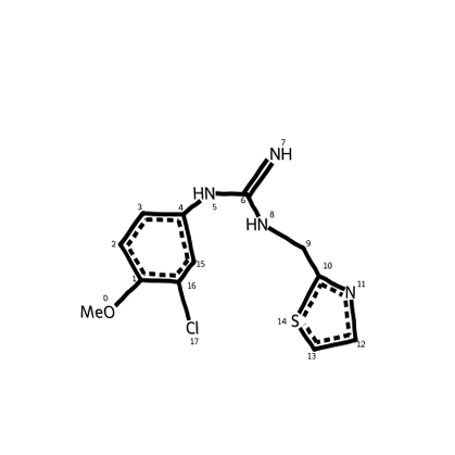 COc1ccc(NC(=N)NCc2nccs2)cc1Cl